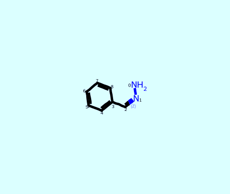 N/N=C\c1c[c]ccc1